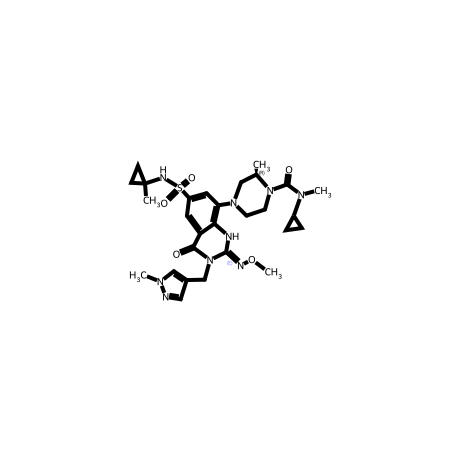 CO/N=c1\[nH]c2c(N3CCN(C(=O)N(C)C4CC4)[C@H](C)C3)cc(S(=O)(=O)NC3(C)CC3)cc2c(=O)n1Cc1cnn(C)c1